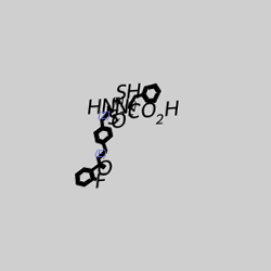 O=C(/C=C/c1ccc(/C=C2/N[C@H](S)N([C@@H](Cc3ccccc3)C(=O)O)[S+]2[O-])cc1)c1ccccc1F